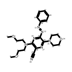 COCCN(CCOC)c1nc(/N=N/c2ccccc2)c(N2CCOCC2)nc1C#N